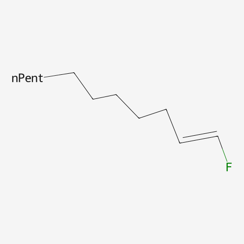 CCCCCCCCCCC=CF